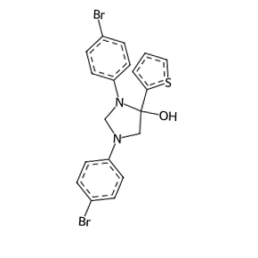 OC1(c2cccs2)CN(c2ccc(Br)cc2)CN1c1ccc(Br)cc1